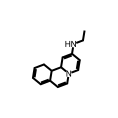 CCNC1=CC2C3CC=CC=C3C=CN2C=C1